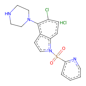 Cl.O=S(=O)(c1ccccn1)n1ccc2c(N3CCNCC3)c(Cl)ccc21